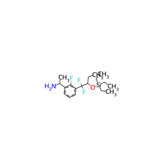 CCC(O[Si](CC)(CC)CC)C(F)(F)c1cccc(C(C)N)c1F